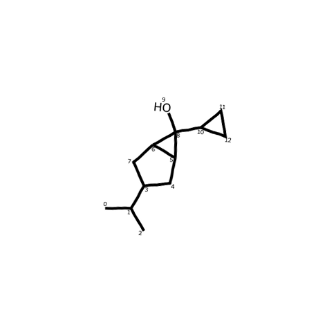 CC(C)C1CC2C(C1)C2(O)C1CC1